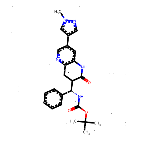 Cn1cc(-c2cnc3c(c2)NC(=O)C([C@H](NC(=O)OC(C)(C)C)c2ccccc2)C3)cn1